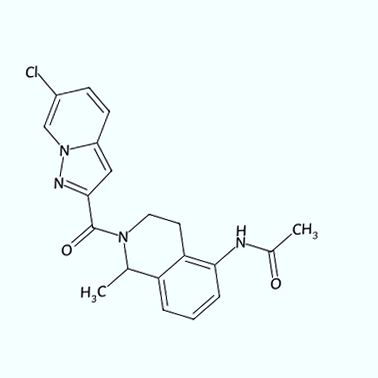 CC(=O)Nc1cccc2c1CCN(C(=O)c1cc3ccc(Cl)cn3n1)C2C